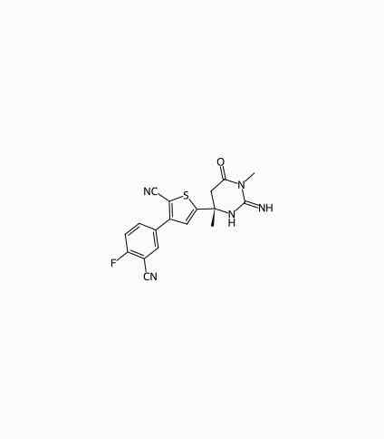 CN1C(=N)N[C@](C)(c2cc(-c3ccc(F)c(C#N)c3)c(C#N)s2)CC1=O